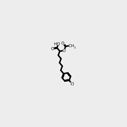 CC(=O)OC(CCCCCc1ccc(Cl)cc1)C(=O)O